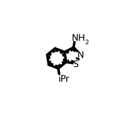 CC(C)c1cccc2c(N)nsc12